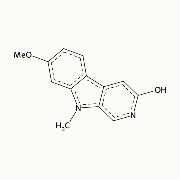 COc1ccc2c3cc(O)ncc3n(C)c2c1